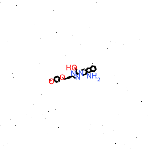 COc1ccc(OCC#Cc2cnc(N3CCC4(CC3)Cc3ccccc3C4N)c(CO)n2)cc1